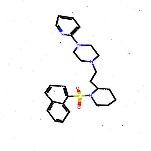 O=S(=O)(c1cccc2ccccc12)N1CCCCC1CCN1CCN(c2ccccn2)CC1